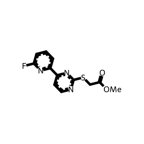 COC(=O)CSc1nccc(-c2cccc(F)n2)n1